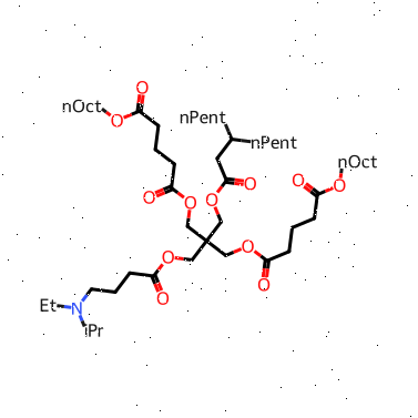 CCCCCCCCOC(=O)CCCC(=O)OCC(COC(=O)CCCC(=O)OCCCCCCCC)(COC(=O)CCCN(CC)C(C)C)COC(=O)CC(CCCCC)CCCCC